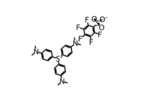 CN(C)c1ccc([S+](c2ccc(N(C)C)cc2)c2ccc(N(C)C)cc2)cc1.O=S(=O)([O-])c1c(F)c(F)c(F)c(F)c1F